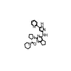 O=C([C@@H]1CCCN1c1nc2c(c(Nc3cc(-c4ccccn4)[nH]n3)n1)CCC2)N1CCCCC1